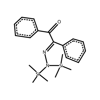 C[Si](C)(C)N(N=C(C(=O)c1ccccc1)c1ccccc1)[Si](C)(C)C